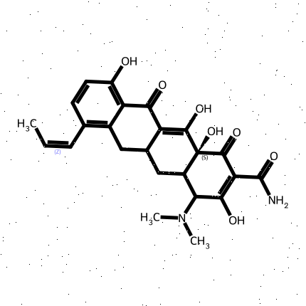 C/C=C\c1ccc(O)c2c1CC1CC3C(N(C)C)C(O)=C(C(N)=O)C(=O)[C@@]3(O)C(O)=C1C2=O